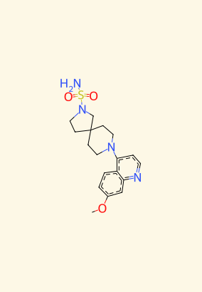 COc1ccc2c(N3CCC4(CC3)CCN(S(N)(=O)=O)C4)ccnc2c1